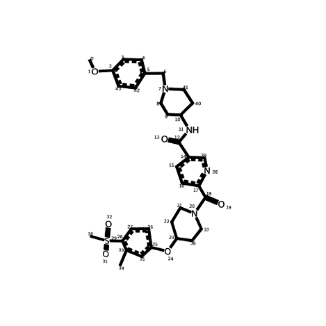 COc1ccc(CN2CCC(NC(=O)c3ccc(C(=O)N4CCC(Oc5ccc(S(C)(=O)=O)c(C)c5)CC4)nc3)CC2)cc1